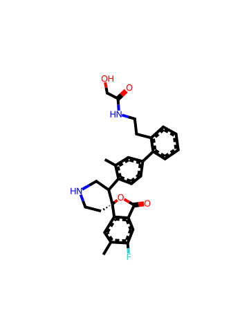 Cc1cc2c(cc1F)C(=O)O[C@@]21CCNCC1c1ccc(-c2ccccc2CCNC(=O)CO)cc1C